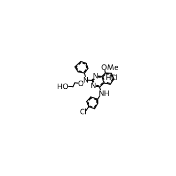 COc1cccc2c(Nc3ccc(Cl)cc3)nc(N(OCCO)c3ccccc3)nc12.Cl